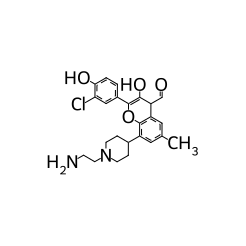 Cc1cc(C2CCN(CCN)CC2)c2c(c1)C(C=O)C(O)=C(c1ccc(O)c(Cl)c1)O2